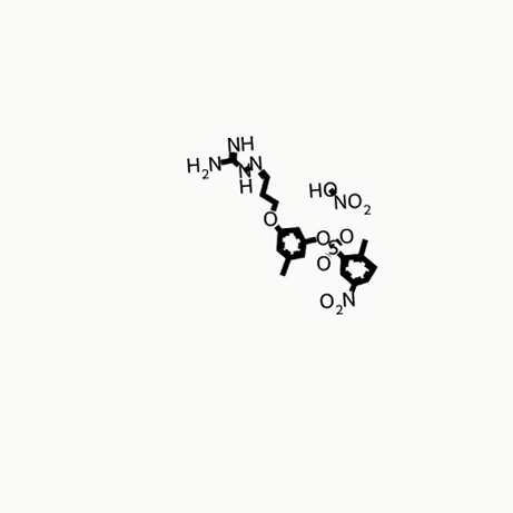 Cc1cc(OCC/C=N\NC(=N)N)cc(OS(=O)(=O)c2cc([N+](=O)[O-])ccc2C)c1.O=[N+]([O-])O